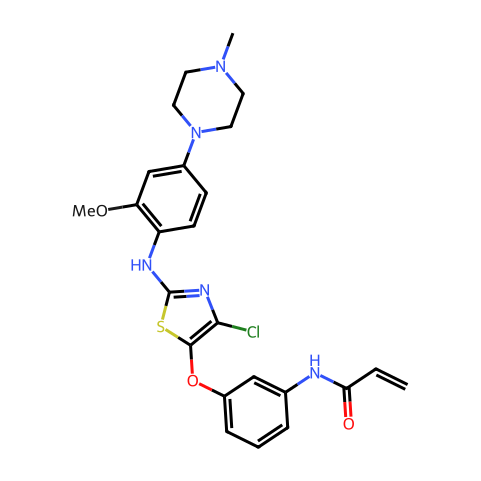 C=CC(=O)Nc1cccc(Oc2sc(Nc3ccc(N4CCN(C)CC4)cc3OC)nc2Cl)c1